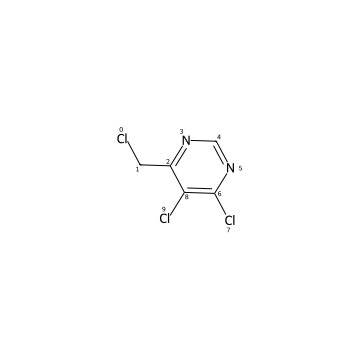 ClCc1ncnc(Cl)c1Cl